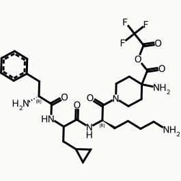 NCCCC[C@@H](NC(=O)C(CC1CC1)NC(=O)[C@H](N)Cc1ccccc1)C(=O)N1CCC(N)(C(=O)OC(=O)C(F)(F)F)CC1